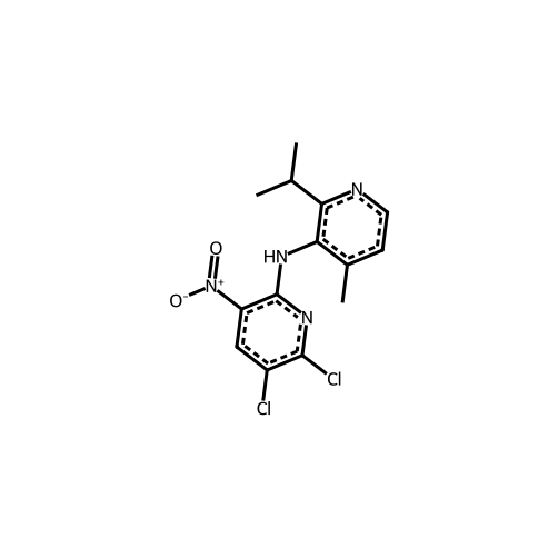 Cc1ccnc(C(C)C)c1Nc1nc(Cl)c(Cl)cc1[N+](=O)[O-]